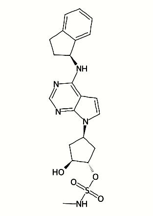 CNS(=O)(=O)O[C@H]1C[C@H](n2ccc3c(N[C@H]4CCc5ccccc54)ncnc32)C[C@@H]1O